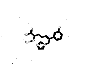 NOC(CC/C=C(\Cn1ccnc1)c1cccc(Br)c1)C(=O)O